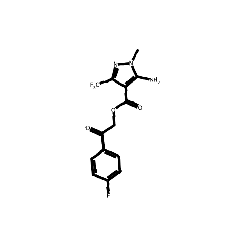 Cn1nc(C(F)(F)F)c(C(=O)OCC(=O)c2ccc(F)cc2)c1N